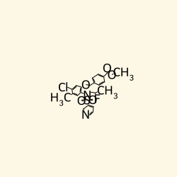 COC(=O)c1ccc(COc2cc(Cl)c(C)cc2N(CC(C)F)S(=O)(=O)c2cccnc2)cc1